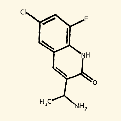 CC(N)c1cc2cc(Cl)cc(F)c2[nH]c1=O